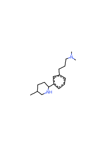 CC1CCC(c2cccc(CCCN(C)C)c2)NC1